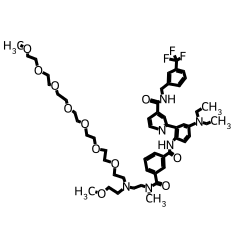 CCN(CC)c1ccc(NC(=O)c2cccc(C(=O)N(C)CCN(CCOC)CCOCCOCCOCCOCCOCCOCCOC)c2)c(-c2cc(C(=O)NCc3cccc(C(F)(F)F)c3)ccn2)c1